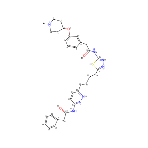 CN1CCC(Oc2cccc(CC(=O)Nc3nnc(CCCCc4ccc(NC(=O)Cc5ccccc5)nn4)s3)c2)CC1